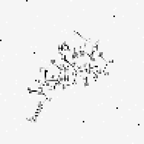 CC[C@H]1[C@@H](O)[C@@H]2[C@H](CC[C@]3(C)[C@@H]([C@H](C)CC#N)CC[C@@H]23)[C@@]2(C)CCCC[C@@H]12